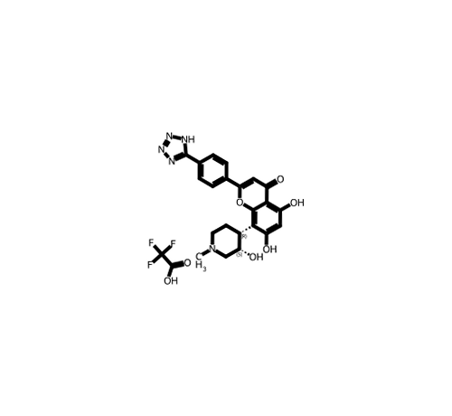 CN1CC[C@H](c2c(O)cc(O)c3c(=O)cc(-c4ccc(-c5nnn[nH]5)cc4)oc23)[C@H](O)C1.O=C(O)C(F)(F)F